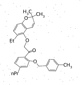 CCCc1ccc(C(=O)COc2c(CC)ccc3c2C=CC(C)(C)O3)c(OCc2ccc(C)cc2)c1